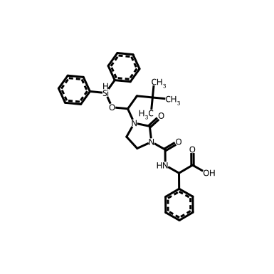 CC(C)(C)CC(O[SiH](c1ccccc1)c1ccccc1)N1CCN(C(=O)NC(C(=O)O)c2ccccc2)C1=O